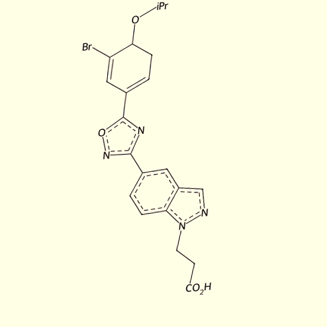 CC(C)OC1CC=C(c2nc(-c3ccc4c(cnn4CCC(=O)O)c3)no2)C=C1Br